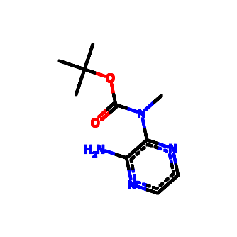 CN(C(=O)OC(C)(C)C)c1nccnc1N